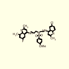 COc1ccc(S(=O)(=O)N(CCCNc2cc(C)nc3c(C)cc(F)cc23)CCNc2cc(C)nc3ccc(Cl)cc23)cc1